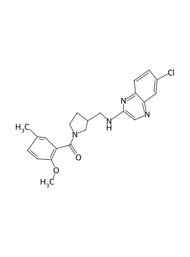 COc1ccc(C)cc1C(=O)N1CCC(CNc2cnc3cc(Cl)ccc3n2)C1